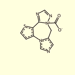 O=C([O-])[N+]12Cc3cncn3-c3ccsc3C1=NC=N2